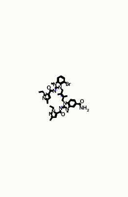 CCn1nc(C)cc1C(=O)/N=c1\n(C)c2cc(C(N)=O)ccc2n1C/C(C)=C(\C)Cn1/c(=N/C(=O)c2cc(C)nn2CC)n(C)c2cccc(Br)c21